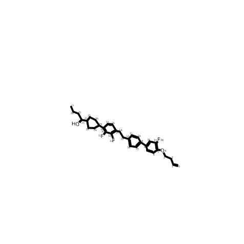 C=CCCOc1ccc(-c2ccc(CCc3ccc(C4CCC(C(O)CCC)CC4)c(F)c3F)cc2)cc1F